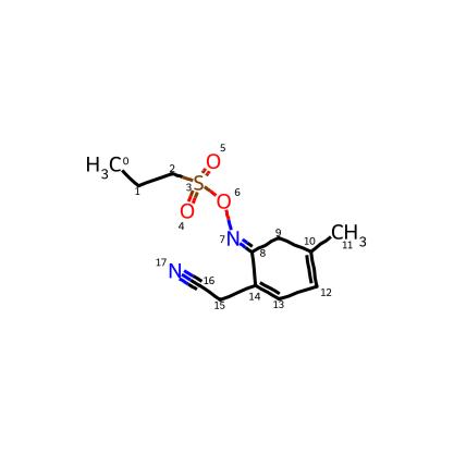 CCCS(=O)(=O)ON=C1CC(C)=CC=C1CC#N